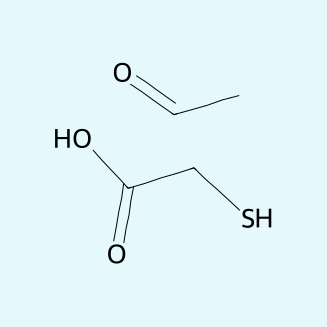 CC=O.O=C(O)CS